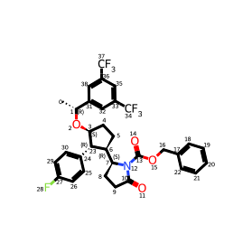 C[C@@H](O[C@H]1CC[C@@H]([C@@H]2CCC(=O)N2C(=O)OCc2ccccc2)[C@@H]1c1ccc(F)cc1)c1cc(C(F)(F)F)cc(C(F)(F)F)c1